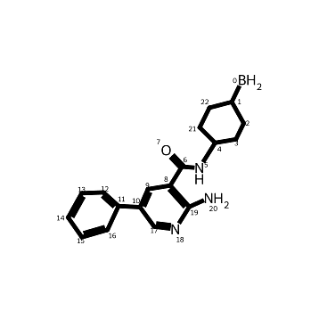 BC1CCC(NC(=O)c2cc(-c3ccccc3)cnc2N)CC1